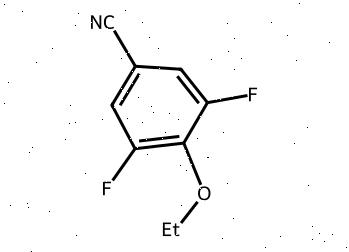 CCOc1c(F)cc(C#N)cc1F